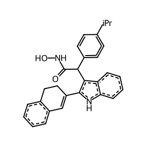 CC(C)C1=C=C=C(C(C(=O)NO)c2c(C3=Cc4ccccc4CC3)[nH]c3ccccc23)C=C1